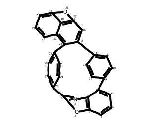 c1cc2oc3nc2c(c1)c1ccc(cc1)c1c2nc4c(cccc4c1c1ccc3cc1)o2